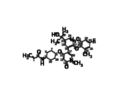 C=CC(=O)N[C@H]1CC[C@H](Oc2cc(=O)n(C)cc2-c2cc(C(C)(C)O)ccc2Oc2c(C)cc(F)cc2C)CC1